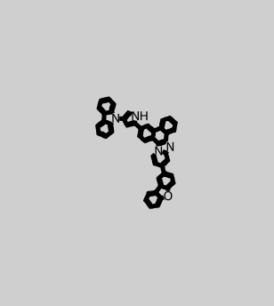 c1ccc2c(c1)oc1ccc(-c3ccn4c(c3)nc3c5ccccc5c5cc(-c6cc(-n7c8ccccc8c8ccccc87)c[nH]6)ccc5c34)cc12